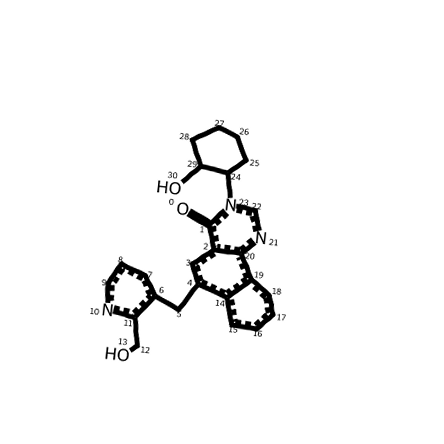 O=c1c2cc(Cc3cccnc3CO)c3ccccc3c2ncn1C1CCCCC1O